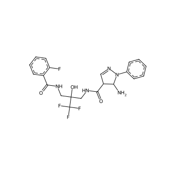 NC1C(C(=O)NCC(O)(CNC(=O)c2ccccc2F)C(F)(F)F)C=NN1c1ccccc1